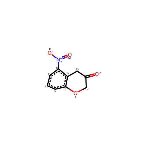 O=C1COc2cccc([N+](=O)[O-])c2C1